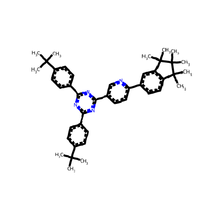 CC(C)(C)c1ccc(-c2nc(-c3ccc(C(C)(C)C)cc3)nc(-c3ccc(-c4ccc5c(c4)C(C)(C)C(C)(C)C5(C)C)nc3)n2)cc1